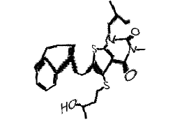 CC(C)Cn1c(=O)n(C)c(=O)c2c(SCCC(C)O)c(Cc3cccc4ccccc34)sc21